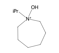 CC(C)[N+]1(O)CCCCCC1